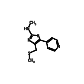 CNc1nc(CSC)c(-c2ccncc2)s1